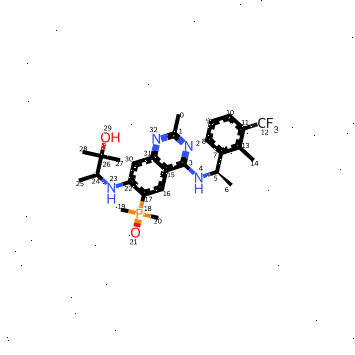 Cc1nc(N[C@H](C)c2cccc(C(F)(F)F)c2C)c2cc(P(C)(C)=O)c(NC(C)C(C)(C)O)cc2n1